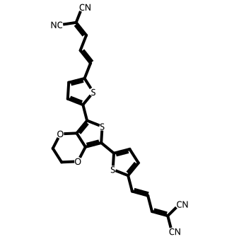 N#CC(C#N)=C/C=C/c1ccc(-c2sc(-c3ccc(/C=C/C=C(C#N)C#N)s3)c3c2OCCO3)s1